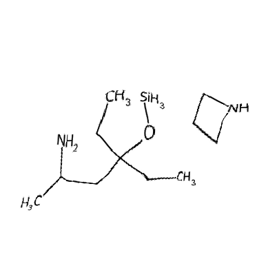 C1CNC1.CCC(CC)(CC(C)N)O[SiH3]